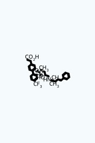 CN(C[C@H](O)CNC(C)(C)CCCc1ccccc1)S(=O)(=O)c1cc(C(F)(F)F)ccc1-c1ccc(CCC(=O)O)cc1